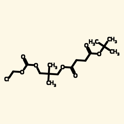 CC(C)(COC(=O)CCC(=O)OC(C)(C)C)COC(=O)OCCl